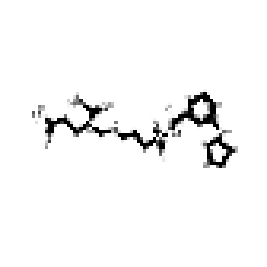 C[C@@H](NS(=O)(=O)CCCOCN(CCC(N)=O)C(=O)O)c1cccc(OC2CCCC2)c1